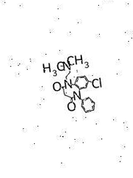 CN(C)CCN1C(=O)CC(=O)N(c2ccccc2)c2cc(Cl)ccc21